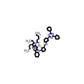 C=C/C=C\C=C(/C)n1c(C=C)c(/C=C\C=C)c(=C)/c1=C\c1c(C=C)c2ccccc2n1-c1cccc(-c2nc3cc(-c4nc(-c5ccccc5)nc(-c5ccccc5)n4)ccc3s2)c1